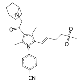 Cc1c(C(=O)CN2C3CCC2CC3)c(C)n(-c2ccc(C#N)cc2)c1/C=C/CCS(C)(=O)=O